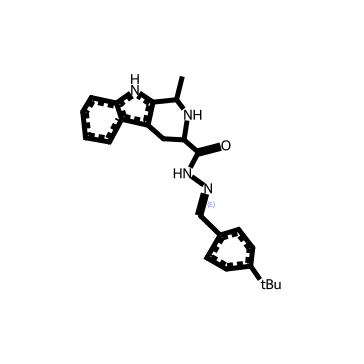 CC1NC(C(=O)N/N=C/c2ccc(C(C)(C)C)cc2)Cc2c1[nH]c1ccccc21